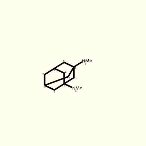 CNC12CC3CC(C1)CC(NC)(C3)C2